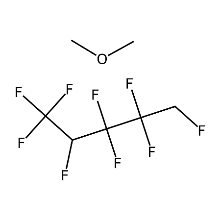 COC.FCC(F)(F)C(F)(F)C(F)C(F)(F)F